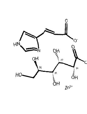 O=C([O-])C=Cc1c[nH]cn1.O=C([O-])[C@H](O)[C@@H](O)[C@H](O)[C@H](O)CO.[Zn+2]